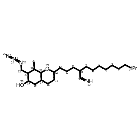 CC(C)CCCCCCCC(C=N)CCCC1CCC2CC(O)C(CN=[N+]=[N-])C(C)C2O1